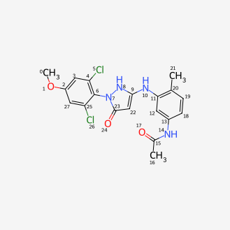 COc1cc(Cl)c(-n2[nH]c(Nc3cc(NC(C)=O)ccc3C)cc2=O)c(Cl)c1